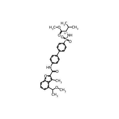 COC(=O)[C@@H](NS(=O)(=O)c1ccc(-c2ccc(NC(=O)c3oc4cccc(C(C)OC)c4c3C)cc2)cc1)C(C)C